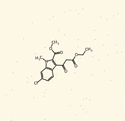 CCOC(=O)CC(=O)c1c(C(=O)OC)n(C)c2cc(Cl)ccc12